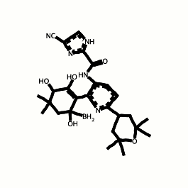 BC1(O)CC(C)(C)C(O)C(O)=C1c1nc(C2CC(C)(C)OC(C)(C)C2)ccc1NC(=O)c1nc(C#N)c[nH]1